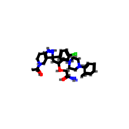 CC(=O)N1CCC2=C(C1)C(CC(CN1CCN(c3ccccc3C)CC1)OCC(N)=O)(c1ccc(Cl)cc1)N=N2